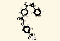 O=CNc1ccc(OCC(=O)N2CCN(C(=O)[C@@H]3C[C@H]3c3ccccc3)CC2)cc1